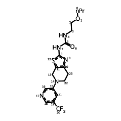 CCCOCCNC(=O)Nc1nc2c(s1)CN(c1cncc(C(F)(F)F)c1)CC2